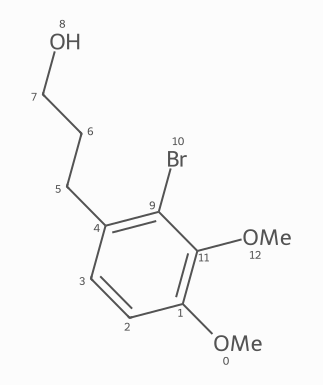 COc1ccc(CCCO)c(Br)c1OC